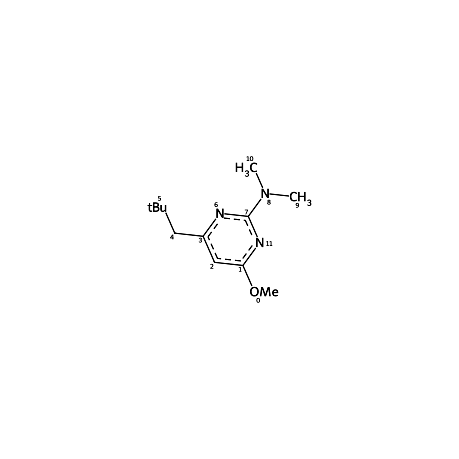 COc1cc(CC(C)(C)C)nc(N(C)C)n1